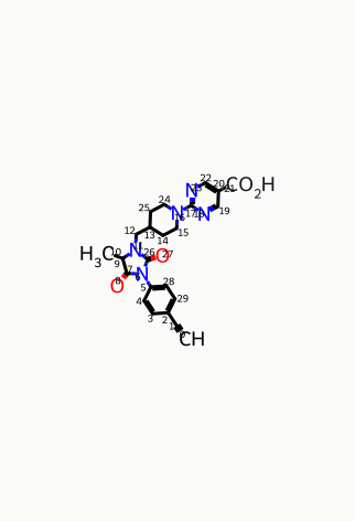 C#Cc1ccc(N2C(=O)C(C)N(CC3CCN(c4ncc(C(=O)O)cn4)CC3)C2=O)cc1